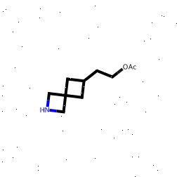 CC(=O)OCCC1CC2(CNC2)C1